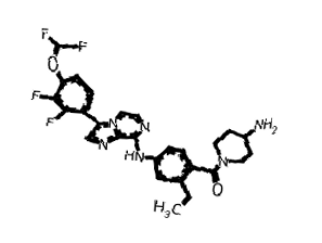 CCc1cc(Nc2nccn3c(-c4ccc(OC(F)F)c(F)c4F)cnc23)ccc1C(=O)N1CCC(N)CC1